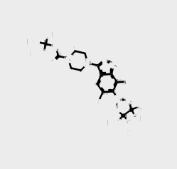 CC(C)(C)OC(=O)N1CCN(c2snc3c(F)c(B4OC(C)(C)C(C)(C)O4)c(Cl)cc23)CC1